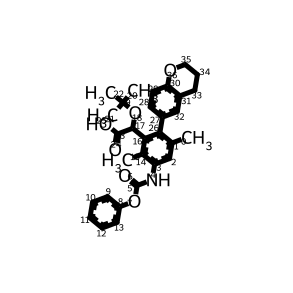 Cc1cc(NC(=O)Oc2ccccc2)c(C)c(C(OC(C)(C)C)C(=O)O)c1-c1ccc2c(c1)CCCO2